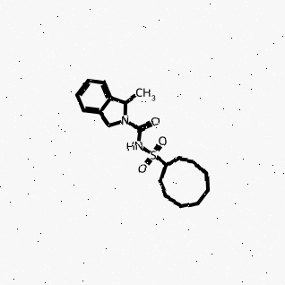 CC1c2ccccc2CN1C(=O)NS(=O)(=O)C1CCCCCCCC1